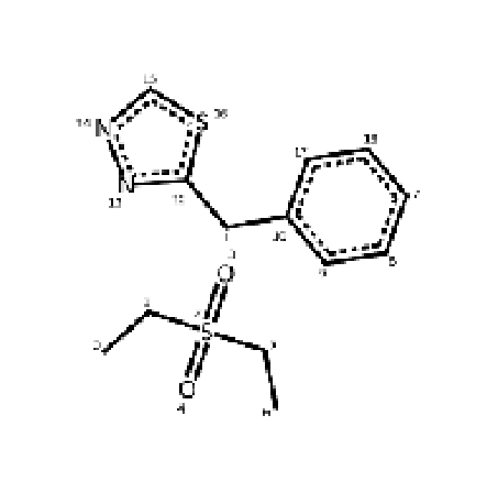 CCS(=O)(=O)CC.c1ccc(Cc2nncs2)cc1